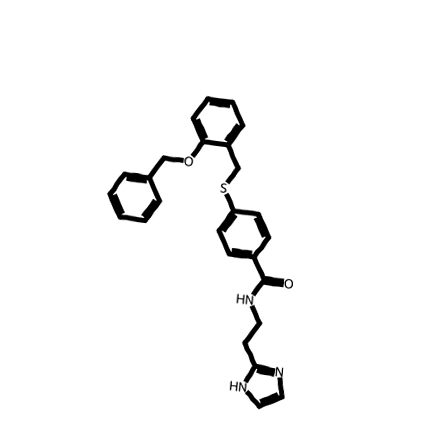 O=C(NCCc1ncc[nH]1)c1ccc(SCc2ccccc2OCc2ccccc2)cc1